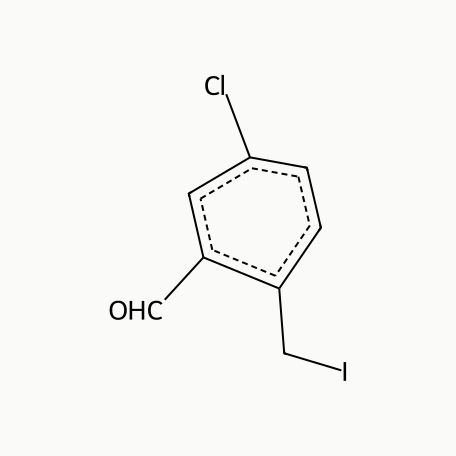 O=Cc1cc(Cl)ccc1CI